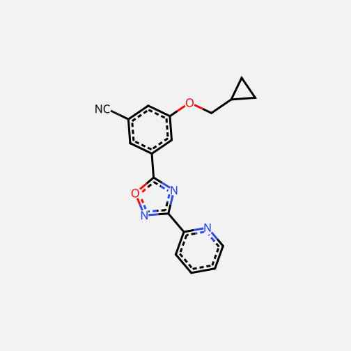 N#Cc1cc(OCC2CC2)cc(-c2nc(-c3ccccn3)no2)c1